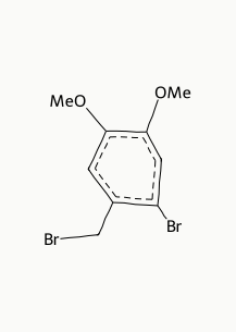 COc1cc(Br)c(CBr)cc1OC